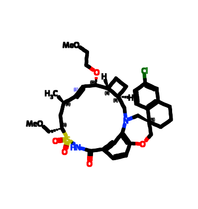 COCCO[C@H]1/C=C/[C@H](C)C[C@@H](COC)S(=O)(=O)NC(=O)c2ccc3c(c2)N(C[C@@H]2CC[C@H]21)C[C@@]1(CCCc2cc(Cl)ccc21)CO3